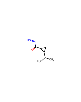 CC(C)C1CC1C(=O)N=N